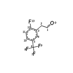 O=CCc1cc(C(F)(F)F)ccc1F